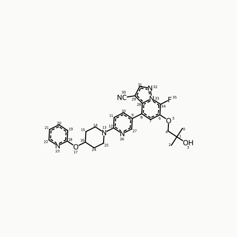 CC(C)(O)COc1cc(-c2ccc(N3CCC(Oc4ccccn4)CC3)nc2)c2c(C#N)cnn2c1F